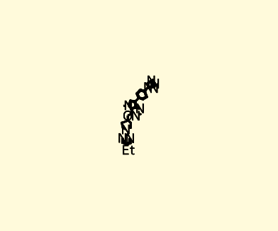 CCc1cnc(N2CCC(Oc3ncnc4c(-c5ccc(-n6cnnn6)cc5)cn(C)c34)CC2)nc1